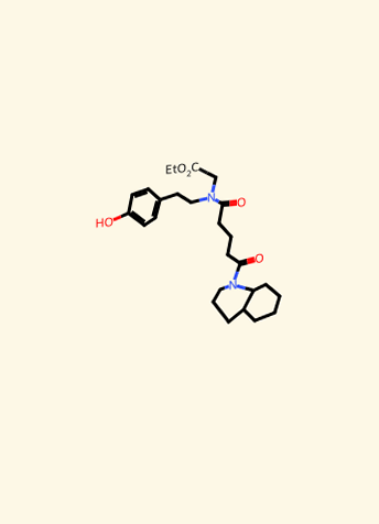 CCOC(=O)CN(CCc1ccc(O)cc1)C(=O)CCCC(=O)N1CCCC2CCCCC21